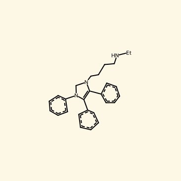 CCNCCCCN1CN(c2ccccc2)C(c2ccccc2)=C1c1ccccc1